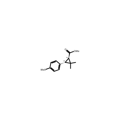 COC(=O)[C@@H]1[C@@H](c2ccc(SC)cc2)C1(C)C